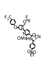 CCS(=O)(=O)c1ccc([C@@H](CC#N)NC(=O)c2ccc(N3C[C@H](Oc4ccc(C(F)(F)F)cc4)C[C@H]3COC(F)F)nc2OC)cc1